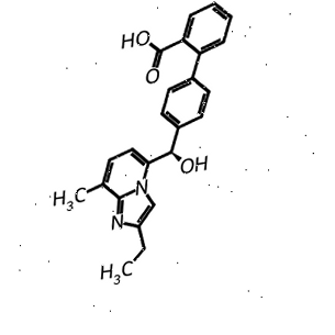 CCc1cn2c([C@H](O)c3ccc(-c4ccccc4C(=O)O)cc3)ccc(C)c2n1